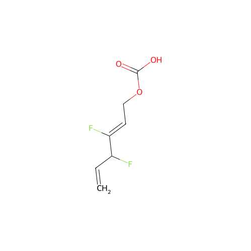 C=CC(F)C(F)=CCOC(=O)O